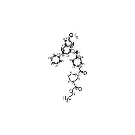 CCOC(=O)C1CCCN(C(=O)c2ccc(Nc3cc(-c4ccccc4)nc4cc(C)nn34)cc2)C1